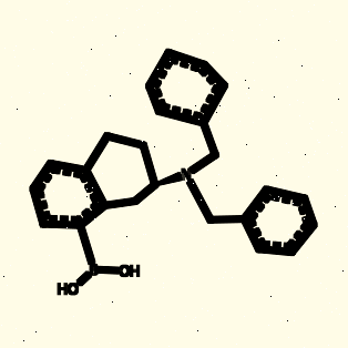 OB(O)c1cccc2c1C[C@H](N(Cc1ccccc1)Cc1ccccc1)CC2